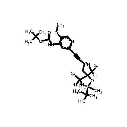 [2H]C([2H])([2H])C(CCC#Cc1cc(NC(=O)OC(C)(C)C)c(OC)cn1)(O[Si](C)(C)C(C)(C)C)C([2H])([2H])[2H]